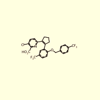 O=C(O)c1nc(C2=C(c3cc(C(F)(F)F)ccc3OCc3ccc(C(F)(F)F)cc3)CCC2)ccc1Cl